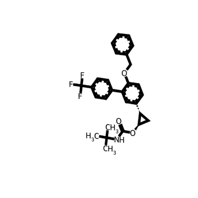 CC(C)(C)NC(=O)O[C@@H]1C[C@H]1c1ccc(OCc2ccccc2)c(-c2ccc(C(F)(F)F)cc2)c1